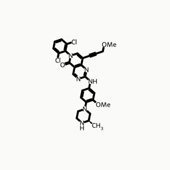 COCC#Cc1cn(-c2c(Cl)cccc2Cl)c(=O)c2cnc(Nc3ccc(N4CCN[C@H](C)C4)c(OC)c3)nc12